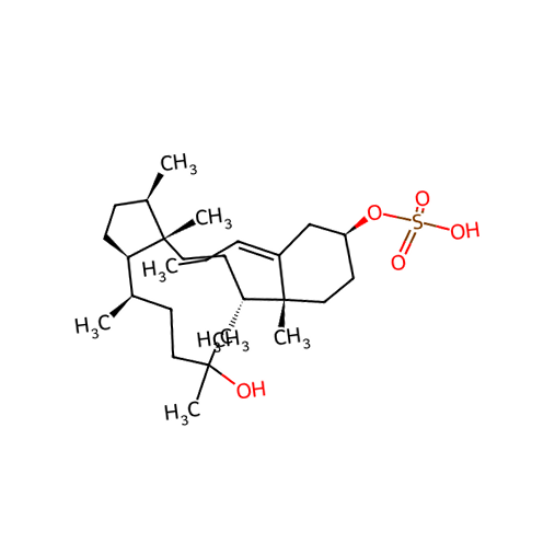 CC/C=C1/C[C@@H](OS(=O)(=O)O)CC[C@]1(C)[C@H](C)CC[C@@]1(C)[C@H](C)CC[C@@H]1[C@H](C)CCC(C)(C)O